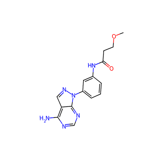 COCCC(=O)Nc1cccc(-n2ncc3c(N)ncnc32)c1